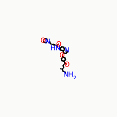 C/C(C=CC(=O)c1ccc(Oc2ccnc3ccc(NC(=O)C#CCCN4CCOCC4)cc23)cc1)=C/CN